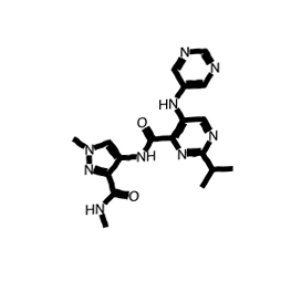 CNC(=O)c1nn(C)cc1NC(=O)c1nc(C(C)C)ncc1Nc1cncnc1